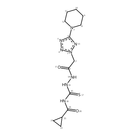 O=C(Cn1nnc(N2CCCCC2)n1)NNC(=S)NC(=O)C1CC1